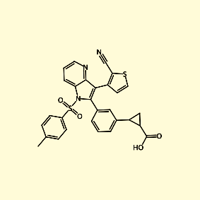 Cc1ccc(S(=O)(=O)n2c(-c3cccc(C4CC4C(=O)O)c3)c(-c3ccsc3C#N)c3ncccc32)cc1